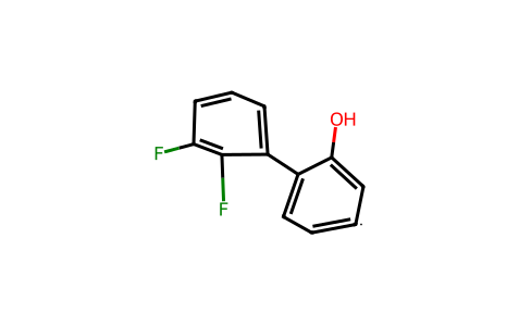 Oc1c[c]ccc1-c1cccc(F)c1F